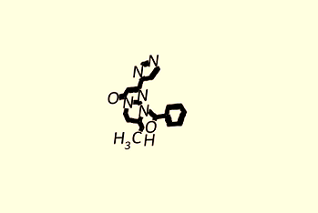 CCC1CCn2c(nc(-c3ccncn3)cc2=O)N1CC(O)c1ccccc1